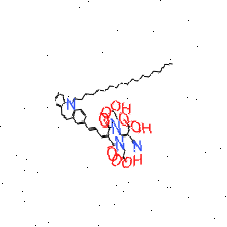 CCCCCCCCCCCCCCCCCCN1c2ccccc2C=Cc2cc(/C=C/C=c3c(=O)n(CC(=O)O)c(=C(C#N)C(=O)O)n(CC(=O)O)c3=O)ccc21